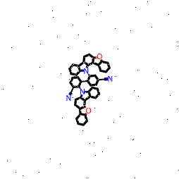 N#Cc1ccc(-c2cccc(C#N)c2-n2c3ccccc3c3c4oc5ccccc5c4ccc32)c(-n2c3ccccc3c3ccc4oc5ccccc5c4c32)c1